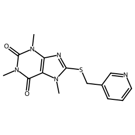 Cn1c(=O)c2c(nc(SCc3cccnc3)n2C)n(C)c1=O